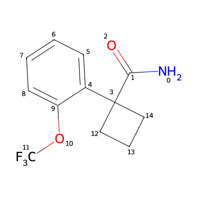 NC(=O)C1(c2ccccc2OC(F)(F)F)CCC1